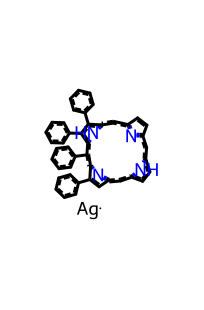 C1=Cc2cc3[nH]c(c(-c4ccccc4)c4nc(cc5ccc(cc1n2)[nH]5)C=C4c1ccccc1)c(-c1ccccc1)c3-c1ccccc1.[Ag]